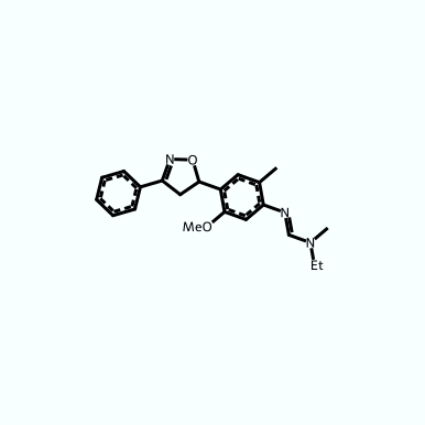 CCN(C)C=Nc1cc(OC)c(C2CC(c3ccccc3)=NO2)cc1C